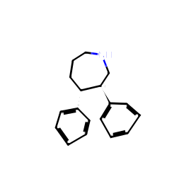 c1ccc([C@@H]2CCCNC[C@H]2c2ccccc2)cc1